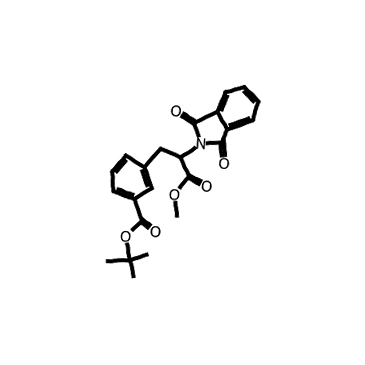 COC(=O)C(Cc1cccc(C(=O)OC(C)(C)C)c1)N1C(=O)c2ccccc2C1=O